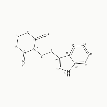 O=C1CCCC(=O)N1CCc1c[nH]c2ccccc12